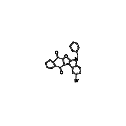 O=C1c2ccccc2C(=O)c2c1oc1c2c2cc(Br)ccc2n1Cc1ccccc1